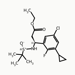 CCOC(=O)C[C@H](N[S@@+]([O-])C(C)(C)C)c1cc(Cl)cc(C2CC2)c1F